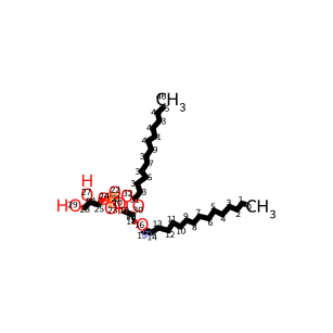 CCCCCCCCCCCCCC/C=C\OC[C@H](COP(=O)(O)OC[C@@H](O)CO)OC(=O)CCCCCCCCCCCCCC